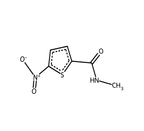 CNC(=O)c1ccc([N+](=O)[O-])s1